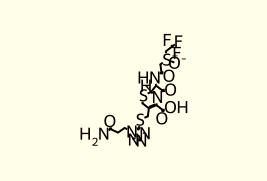 NC(=O)CCn1nnnc1SCC1=C(C(=O)O)N2C(=O)C(NC(=O)C[S+]([O-])CC(F)(F)F)[C@H]2SC1